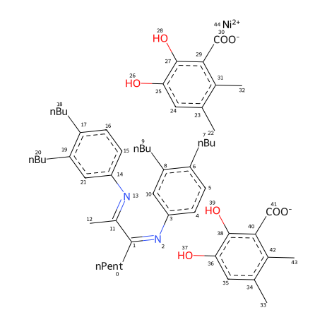 CCCCCC(=Nc1ccc(CCCC)c(CCCC)c1)C(C)=Nc1ccc(CCCC)c(CCCC)c1.Cc1cc(O)c(O)c(C(=O)[O-])c1C.Cc1cc(O)c(O)c(C(=O)[O-])c1C.[Ni+2]